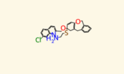 NCCSC1(OCc2ccc3ccc(Cl)cc3n2)C=CC2=C(Cc3ccccc3CO2)C1